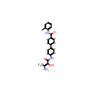 Cc1ccccc1NC(=O)c1ccc(-c2ccc(NC(=O)/C(O)=C(/N)C(F)(F)F)cc2)cc1